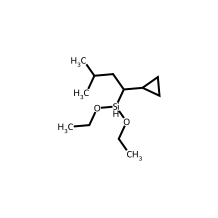 CCO[SiH](OCC)C(CC(C)C)C1CC1